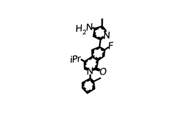 Cc1cnc(-c2cc3c(C(C)C)cn(-c4ccccc4C)c(=O)c3cc2F)cc1N